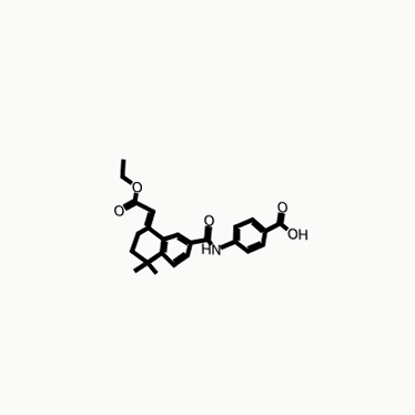 CCOC(=O)C=C1CCC(C)(C)c2ccc(C(=O)Nc3ccc(C(=O)O)cc3)cc21